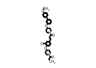 C=CC(=O)N1CCC(Oc2ccc(/C=C/C(=O)N3CCC(Oc4cccc(-c5ccc(OC)cc5)c4)CC3)cc2Cl)CC1